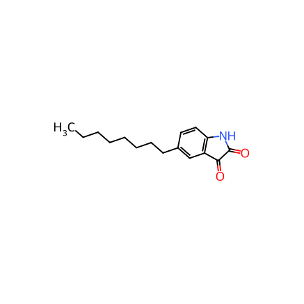 CCCCCCCCc1ccc2c(c1)C(=O)C(=O)N2